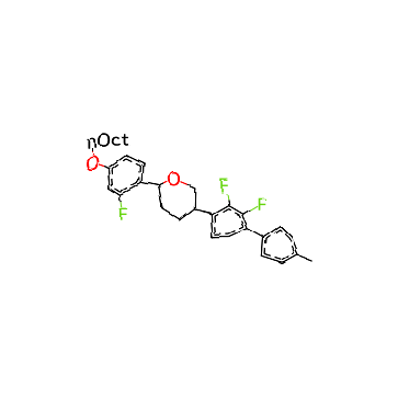 CCCCCCCCOc1ccc(C2CCC(c3ccc(-c4ccc(C)cc4)c(F)c3F)CO2)c(F)c1